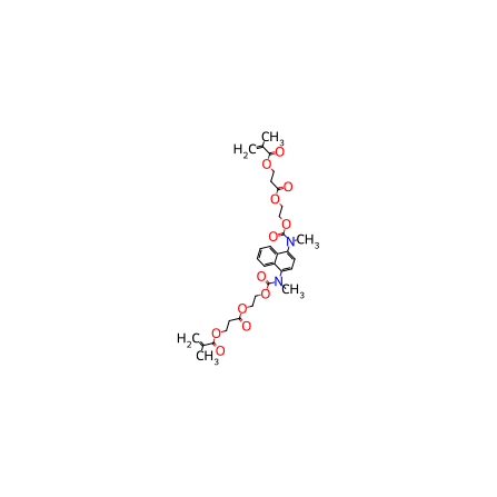 C=C(C)C(=O)OCCC(=O)OCCOC(=O)N(C)c1ccc(N(C)C(=O)OCCOC(=O)CCOC(=O)C(=C)C)c2ccccc12